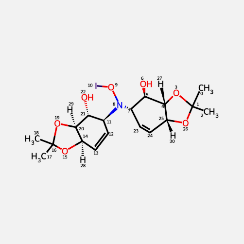 CC1(C)O[C@H]2[C@H](O)[C@@H](N(OI)[C@H]3C=C[C@H]4OC(C)(C)O[C@H]4[C@@H]3O)C=C[C@H]2O1